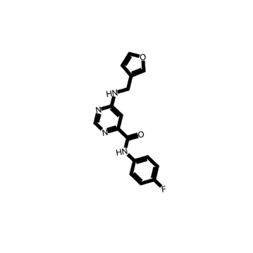 O=C(Nc1ccc(F)cc1)c1cc(NCc2ccoc2)ncn1